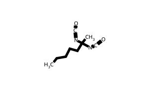 CCCCCC(C)(N=C=O)N=C=O